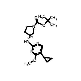 COc1nc(N[C@@H]2CCN(C(=O)OC(C)(C)C)C2)ncc1C1CC1